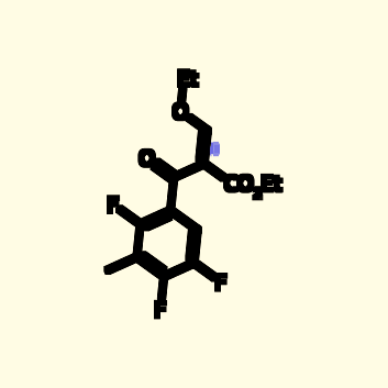 CCO/C=C(/C(=O)OCC)C(=O)c1cc(F)c(F)c(C)c1F